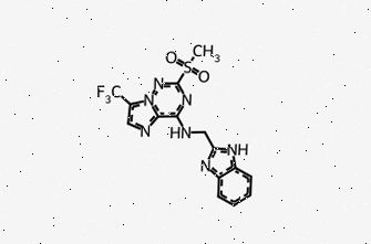 CS(=O)(=O)c1nc(NCc2nc3ccccc3[nH]2)c2ncc(C(F)(F)F)n2n1